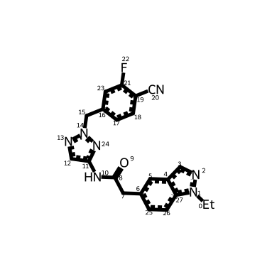 CCn1ncc2cc(CC(=O)Nc3cnn(Cc4ccc(C#N)c(F)c4)n3)ccc21